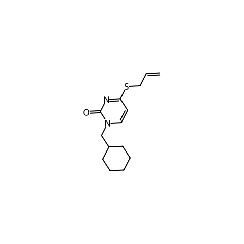 C=CCSc1ccn(CC2CCCCC2)c(=O)n1